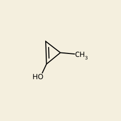 CC1C=C1O